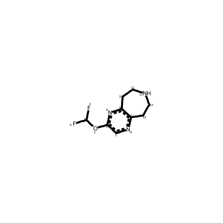 FC(F)Oc1cnc2c(n1)CCNCC2